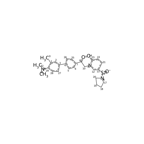 Cc1cc(-c2ccc(C(=O)Cn3cc([S+]([O-])N4CCCC4)ccc3=O)cc2)ccc1N(C)C